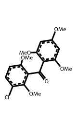 COc1cc(OC)c(C(=O)c2c(OC)ccc(Cl)c2OC)c(OC)c1